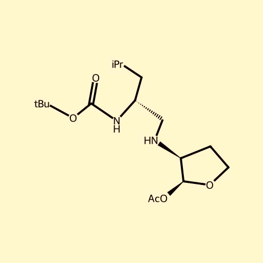 CC(=O)O[C@@H]1OCC[C@@H]1NC[C@@H](CC(C)C)NC(=O)OC(C)(C)C